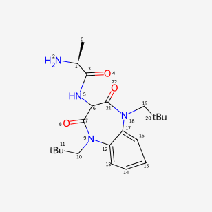 C[C@H](N)C(=O)NC1C(=O)N(CC(C)(C)C)c2ccccc2N(CC(C)(C)C)C1=O